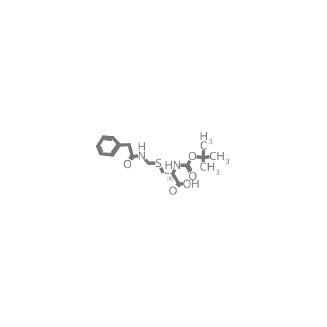 CC(C)(C)OC(=O)N[C@@H](CSCNC(=O)Cc1ccccc1)C(=O)O